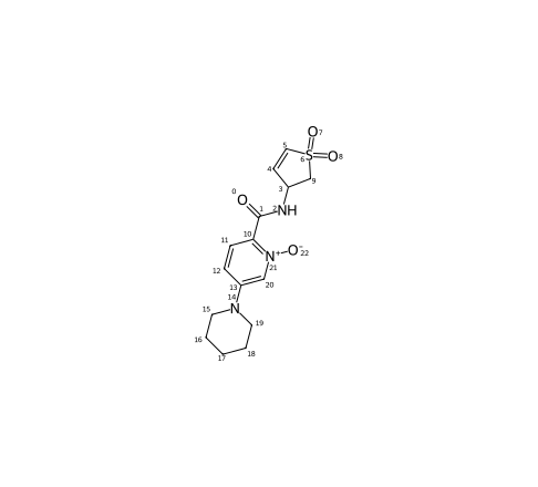 O=C(NC1C=CS(=O)(=O)C1)c1ccc(N2CCCCC2)c[n+]1[O-]